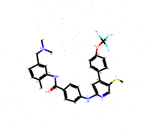 CSc1cnc(Nc2ccc(C(=O)Nc3cc(CN(C)C)ccc3C)cc2)cc1-c1ccc(OC(F)(F)F)cc1